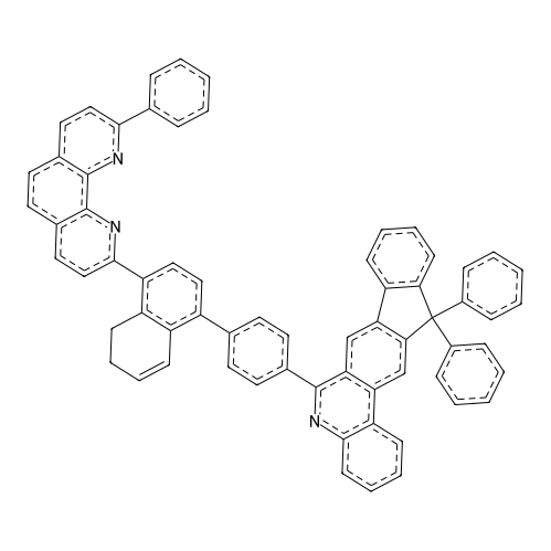 C1=Cc2c(-c3ccc(-c4nc5ccccc5c5cc6c(cc45)-c4ccccc4C6(c4ccccc4)c4ccccc4)cc3)ccc(-c3ccc4ccc5ccc(-c6ccccc6)nc5c4n3)c2CC1